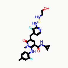 Cc1ccc(Nc2c(C(=O)NC3CC3)cc(Cc3ccnc(NSNCCO)c3F)c(=O)n2C)c(F)c1